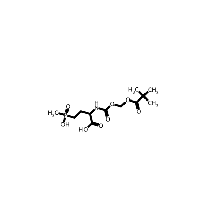 CC(C)(C)C(=O)OCOC(=O)NC(CCP(C)(=O)O)C(=O)O